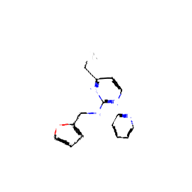 N#CCc1ccnc(NCc2ccco2)n1.c1ccncc1